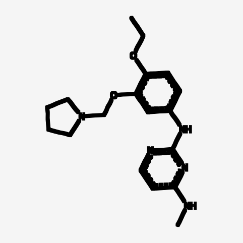 CCOc1ccc(Nc2nccc(NC)n2)cc1OCN1CCCC1